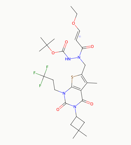 CCO/C=C/C(=O)N(Cc1sc2c(c1C)c(=O)n(C1CC(C)(C)C1)c(=O)n2CCC(F)(F)F)NC(=O)OC(C)(C)C